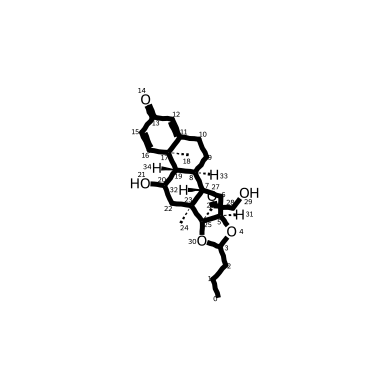 CCCC1O[C@@H]2C[C@H]3[C@@H]4CCC5=CC(=O)C=C[C@]5(C)[C@H]4C(O)C[C@]3(C)[C@]2(C(=O)CO)O1